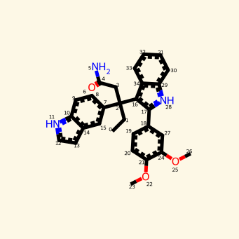 CCC(CC(N)=O)(c1ccc2[nH]ccc2c1)c1c(-c2ccc(OC)c(OC)c2)[nH]c2ccccc12